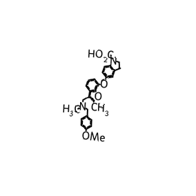 COc1ccc(CN(C)Cc2c(C)oc3c(Oc4ccc5c(c4)CCN5C(=O)O)cccc23)cc1